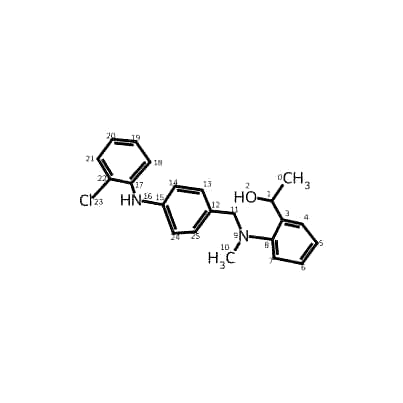 CC(O)c1ccccc1N(C)Cc1ccc(Nc2ccccc2Cl)cc1